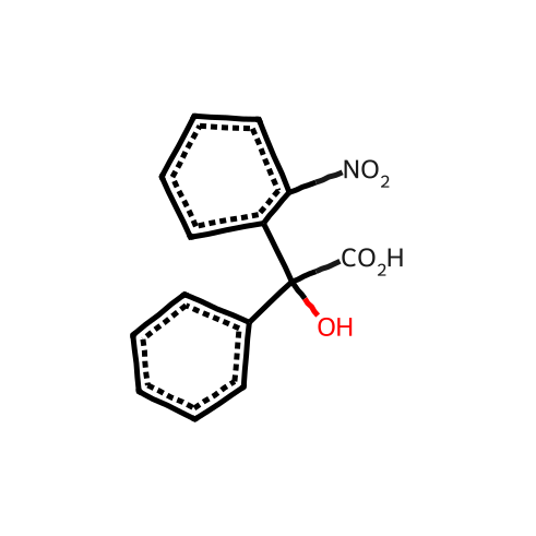 O=C(O)C(O)(c1ccccc1)c1ccccc1[N+](=O)[O-]